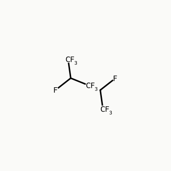 FC(C(F)(F)F)C(F)(F)F.FCC(F)(F)F